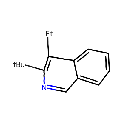 CCc1c(C(C)(C)C)ncc2ccccc12